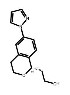 OCC[C@@H]1OCCc2cc(-n3cccn3)ccc21